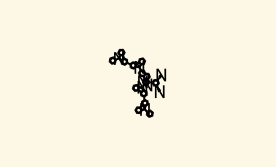 N#Cc1cc(C#N)cc(-c2nc(-n3c4ccccc4c4cc(-c5ccc6c(c5)c5ccccc5n6-c5ccccc5)ccc43)nc3c2ccc2cc(-n4c5ccccc5c5cc(-c6ccc7c(c6)c6ccccc6n7-c6ccccc6)ccc54)ccc23)c1